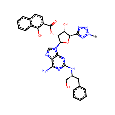 CCn1nnc([C@H]2O[C@@H](n3cnc4c(N)nc(N[C@H](CO)Cc5ccccc5)nc43)[C@H](OC(=O)c3ccc4ccccc4c3O)[C@@H]2O)n1